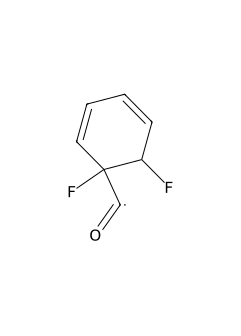 O=[C]C1(F)C=CC=CC1F